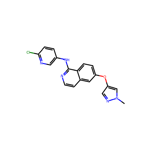 Cn1cc(Oc2ccc3c(Nc4ccc(Cl)nc4)nccc3c2)cn1